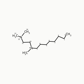 CCCCCCCCN(C)CCN(C)C